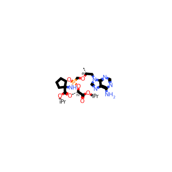 CC(C)OC(=O)[C@H](C)OP(=O)(CO[C@H](C)Cn1cnc2c(N)ncnc21)NC1(C(=O)OC(C)C)CCCC1